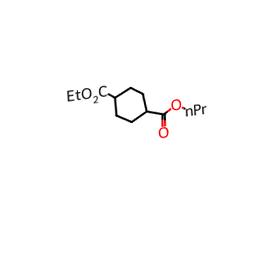 CCCOC(=O)C1CCC(C(=O)OCC)CC1